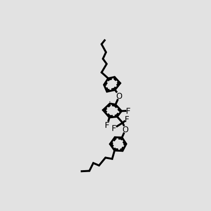 CCCCCCc1ccc(Oc2[c]cc(F)c(C(F)(F)Oc3ccc(CCCCCC)cc3)c2F)cc1